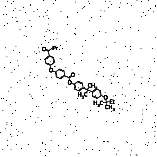 CCC(C)(C)Oc1ccc(C(C)(C)c2ccc(OC(=O)c3ccc(Oc4ccc(C(=O)C(C)C)cc4)cc3)cc2)cc1